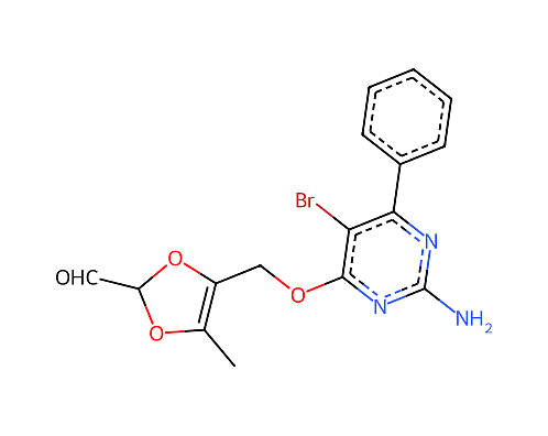 CC1=C(COc2nc(N)nc(-c3ccccc3)c2Br)OC(C=O)O1